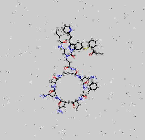 CC[C@@H]1NC(=O)[C@H](CCN)NC(=O)[C@H](CCN)CC(=O)C(CC(C)C)NC(=O)[C@@H](Cc2ccccc2)NC(=O)[C@H](CCN)NC(=O)[C@@H](NC(=O)CCN(CCNC(=O)CCCC(=O)O)C(=O)n2nc(/C=C/c3ccccn3)c3ccc(Sc4ccccc4C(=O)NC)cc32)CCNC1=O